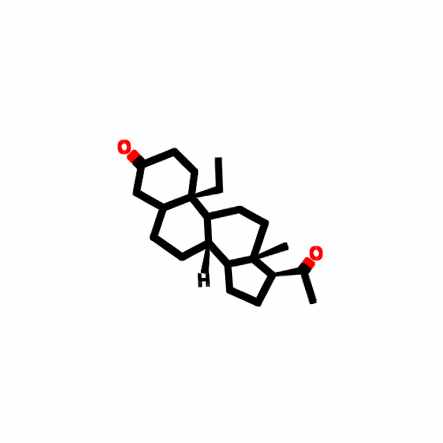 CC[C@]12CCC(=O)CC1CC[C@@H]1C2CC[C@@]2(C)C1CC[C@@H]2C(C)=O